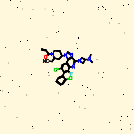 C=CC(=O)N1CCC(n2cnc3c(N4CC(N(C)C)C4)nc4c(F)c(-c5ccccc5Cl)c(Cl)cc4c32)CC1CC#N